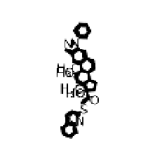 CC12Cc3cnn(-c4ccccc4)c3C=C1CCC1C2[C@@H](O)CC2(C)C1CC[C@]2(O)C(=O)CSc1ccc2ccccc2n1